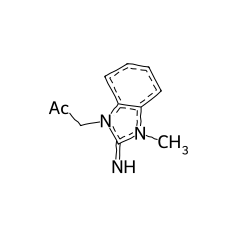 CC(=O)Cn1c(=N)n(C)c2ccccc21